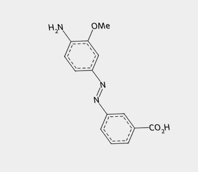 COc1cc(N=Nc2cccc(C(=O)O)c2)ccc1N